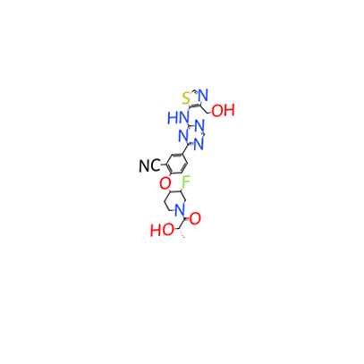 C[C@H](O)C(=O)N1CC[C@H](Oc2ccc(-c3ncnc(Nc4scnc4CO)n3)cc2C#N)[C@@H](F)C1